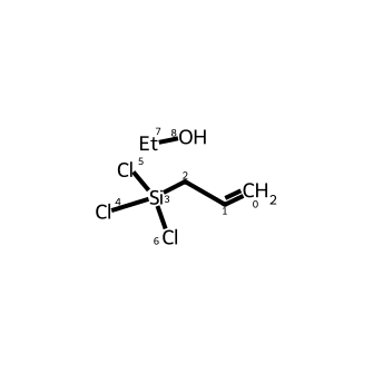 C=CC[Si](Cl)(Cl)Cl.CCO